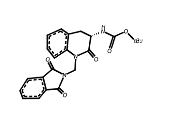 CC(C)(C)OC(=O)N[C@H]1Cc2ccccc2N(CN2C(=O)c3ccccc3C2=O)C1=O